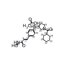 CC(=O)O.O=C(/C=C/c1ccc(N[C@@H]2CCN(C(=O)C3CCCCC3)C2)cc1)NO